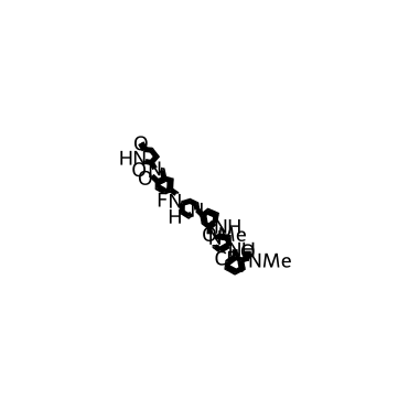 CNC(=O)c1ccccc1Nc1cc(Nc2ccc(N3CCC(NCc4cc5c(cc4F)C(=O)N(C4CCC(=O)NC4=O)C5)CC3)cc2OC)ncc1C(F)(F)F